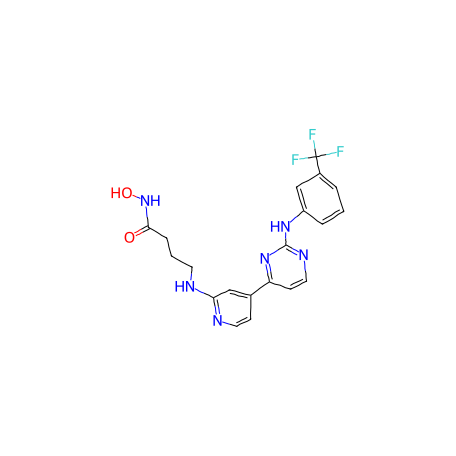 O=C(CCCNc1cc(-c2ccnc(Nc3cccc(C(F)(F)F)c3)n2)ccn1)NO